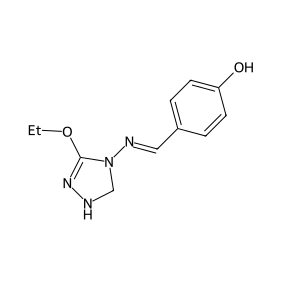 CCOC1=NNCN1N=Cc1ccc(O)cc1